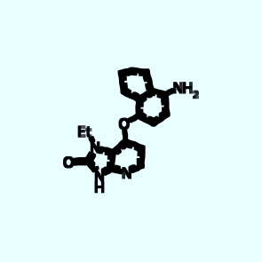 CCn1c(=O)[nH]c2nccc(Oc3ccc(N)c4ccccc34)c21